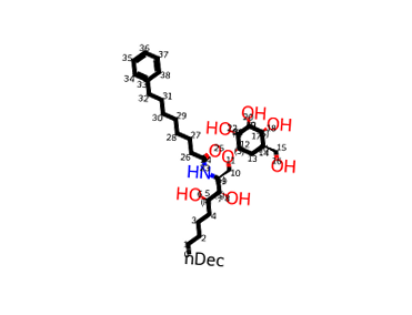 CCCCCCCCCCCCCC[C@@H](O)[C@@H](O)[C@H](CO[C@H]1C[C@H](CO)[C@H](O)[C@H](O)[C@H]1O)NC(=O)CCCCCCCc1ccccc1